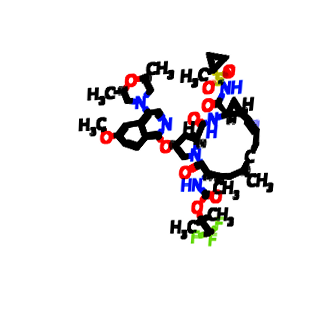 COc1ccc2c(O[C@@H]3C[C@H]4C(=O)N[C@]5(C(=O)NS(=O)(=O)C6(C)CC6)C[C@H]5/C=C\CC[C@@H](C)C[C@@H](C)[C@H](NC(=O)OC(C)(C)C(F)(F)F)C(=O)N4C3)ncc(N3C[C@@H](C)O[C@@H](C)C3)c2c1